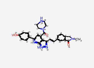 CN1Cc2ccc(/C=C/c3n[nH]c4nc(-c5ccc(O)cc5)cc(C(=O)N5CCNCC5)c34)cc2C1=O